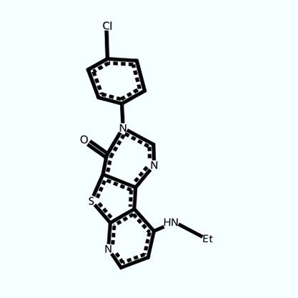 CCNc1ccnc2sc3c(=O)n(-c4ccc(Cl)cc4)cnc3c12